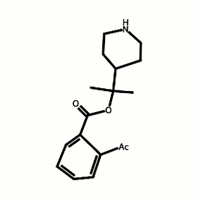 CC(=O)c1ccccc1C(=O)OC(C)(C)C1CCNCC1